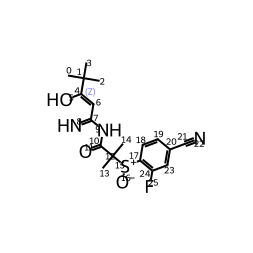 CC(C)(C)/C(O)=C/C(=N)NC(=O)C(C)(C)[S+]([O-])c1ccc(C#N)cc1F